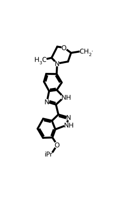 [CH2]C1CN(c2ccc3nc(-c4n[nH]c5c(OC(C)C)cccc45)[nH]c3c2)C(C)CO1